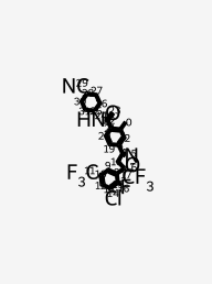 Cc1cc(C2=NOC(c3cc(C(F)(F)F)cc(Cl)c3F)(C(F)(F)F)C2)ccc1C(=O)NC1CCC(C#N)CC1